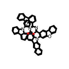 c1ccc(-n2c3ccccc3c3cccc(-c4nc(-c5cc6c(cc5-n5c7ccccc7c7cc8ccccc8cc75)oc5ccccc56)nc(-c5cccc6c5oc5ccccc56)n4)c32)cc1